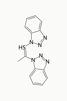 CC(=[SH]n1nnc2ccccc21)n1nnc2ccccc21